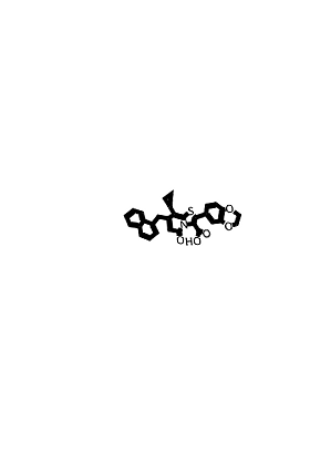 O=C(O)c1c(-c2ccc3c(c2)OCCO3)sc2c(C3CC3)c(Cc3cccc4ccccc34)cc(=O)n12